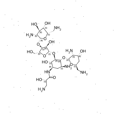 NC[C@@H]1C[C@@H](O)[C@@H](N)[C@@H](O[C@H]2[C@H](O[C@@H]3O[C@H](CO)[C@@H](O[C@H]4O[C@@H](CN)[C@@H](O)[C@H](O)[C@H]4N)[C@H]3O)[C@@H](O)[C@H](NC(=O)[C@@H](O)CN)C[C@@H]2N)O1